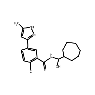 O=C(NC(O)C1CCCCCC1)c1cc(-c2cc(C(F)(F)F)[nH]n2)ccc1Cl